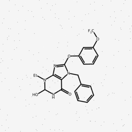 CCN1c2nc(Oc3cccc(OC(F)(F)F)c3)n(Cc3ccccc3)c2C(=O)NC1O